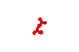 c1cc(-c2cccc3oc4ccccc4c23)c2ccc(-c3nc(-c4ccc5ccc(-c6cccc7c6oc6cccc(-c8cccc9cc(-c%10nc(-c%11ccc%12c(ccc%13ccccc%13%12)c%11)nc(-c%11ccc%12c(ccc%13oc%14ccccc%14c%13%12)c%11)n%10)ccc89)c67)cc5c4)nc(-c4ccc5c(ccc6oc7ccccc7c65)c4)n3)cc2c1